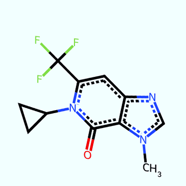 Cn1cnc2cc(C(F)(F)F)n(C3CC3)c(=O)c21